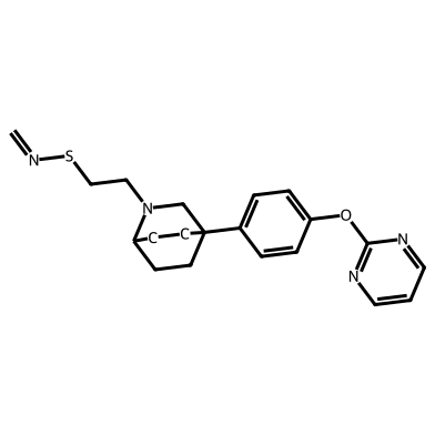 C=NSCCN1CC2(c3ccc(Oc4ncccn4)cc3)CCC1CC2